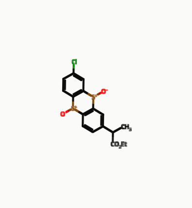 CCOC(=O)C(C)c1ccc2c(c1)[S+]([O-])c1cc(Cl)ccc1[S+]2[O-]